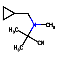 CN(CC1CC1)C(C)(C)C#N